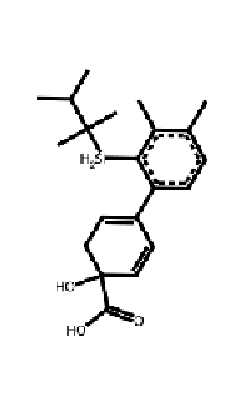 Cc1ccc(C2=CCC(O)(C(=O)O)C=C2)c([SiH2]C(C)(C)C(C)C)c1C